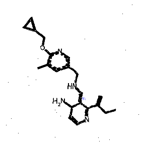 C=C(CC)C1=NC=CC(N)/C1=C\NCc1cnc(OCC2CC2)c(C)c1